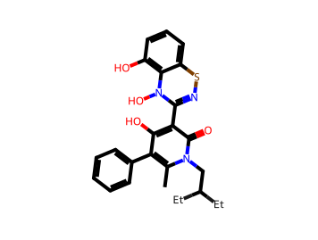 CCC(CC)Cn1c(C)c(-c2ccccc2)c(O)c(C2=NSc3cccc(O)c3N2O)c1=O